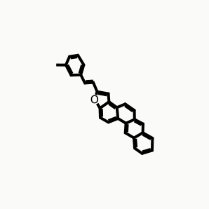 Cc1cccc(/C=C/c2cc3c(ccc4c5cc6ccccc6cc5ccc34)o2)c1